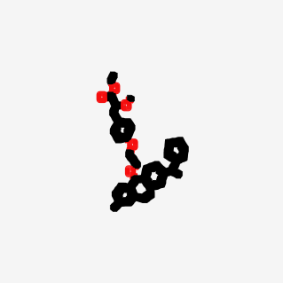 CCOC(=O)C(Cc1ccc(OCCOC2c3ccc(C)cc3C=Cc3cc(C(C)c4ccccc4)ccc32)cc1)OC